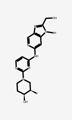 CC(C)n1c(CO)nc2cnc(Nc3ccnc(N4CC[C@H](O)[C@H](F)C4)n3)cc21